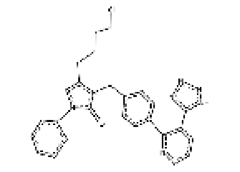 CCCCCc1cn(-c2ccccc2)c(=O)n1Cc1ccc(-c2ncccc2-c2nnn[nH]2)cc1